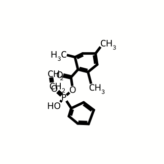 C=C.Cc1cc(C)c(C(=O)OP(=O)(O)c2ccccc2)c(C)c1